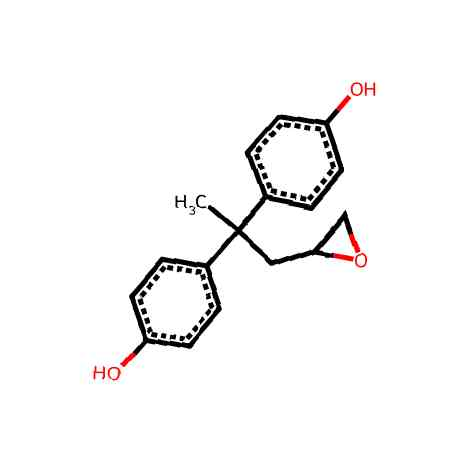 CC(CC1CO1)(c1ccc(O)cc1)c1ccc(O)cc1